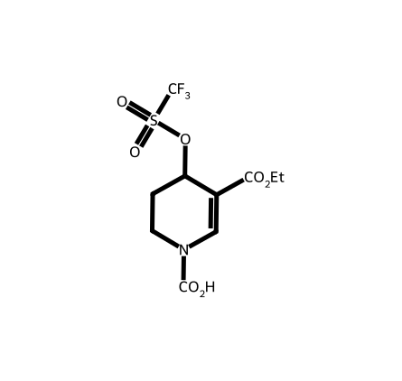 CCOC(=O)C1=CN(C(=O)O)CCC1OS(=O)(=O)C(F)(F)F